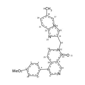 COc1ccc(-c2cncc3c(=O)n(Cc4cn5cc(C)ccc5n4)ccc23)cc1